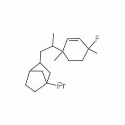 CC(CC1CC2(C(C)C)CCC1C2)C1(C)C=CC(C)(F)CC1